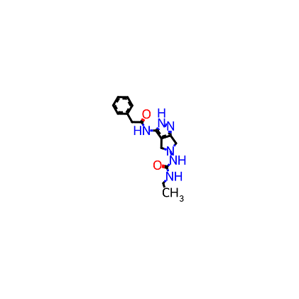 CCNC(=O)NN1Cc2n[nH]c(NC(=O)Cc3ccccc3)c2C1